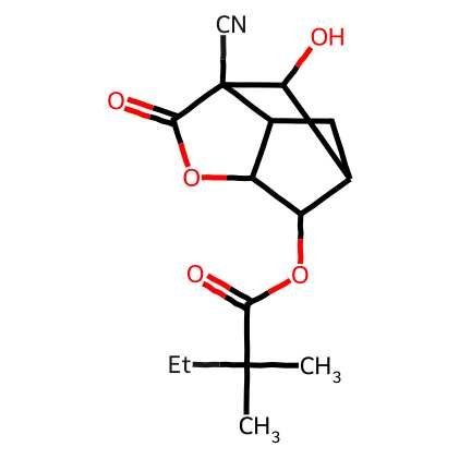 CCC(C)(C)C(=O)OC1C2CC3C1OC(=O)C3(C#N)C2O